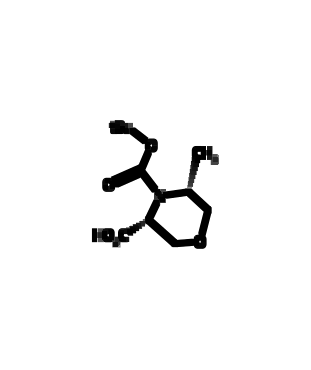 C[C@@H]1COC[C@H](C(=O)O)N1C(=O)OC(C)(C)C